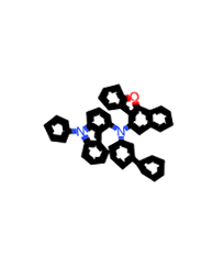 c1ccc(-c2cccc(N(c3cc4ccccc4c4oc5ccccc5c34)c3cccc4c3c3ccccc3n4-c3ccccc3)c2)cc1